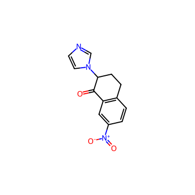 O=C1c2cc([N+](=O)[O-])ccc2CCC1n1ccnc1